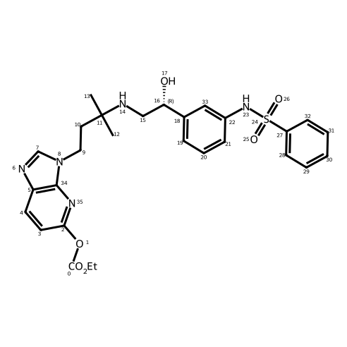 CCOC(=O)Oc1ccc2ncn(CCC(C)(C)NC[C@H](O)c3cccc(NS(=O)(=O)c4ccccc4)c3)c2n1